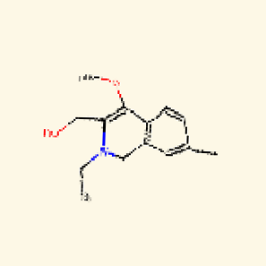 CCCCOC1=C(CO)N(CC(C)(C)C)Cc2cc(C)ccc21